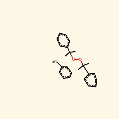 CC(C)(OOC(C)(C)c1ccccc1)c1ccccc1.CCCc1ccccc1